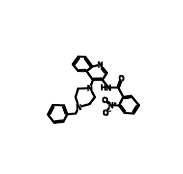 O=C(Nc1cnc2ccccc2c1N1CCN(Cc2ccccc2)CC1)c1ccccc1[N+](=O)[O-]